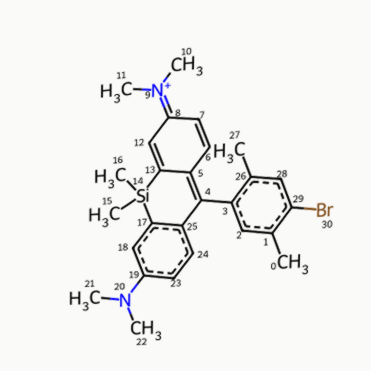 Cc1cc(C2=C3C=CC(=[N+](C)C)C=C3[Si](C)(C)c3cc(N(C)C)ccc32)c(C)cc1Br